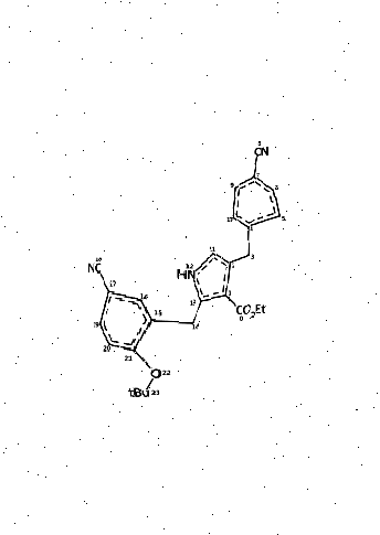 CCOC(=O)c1c(Cc2ccc(C#N)cc2)c[nH]c1Cc1cc(C#N)ccc1OC(C)(C)C